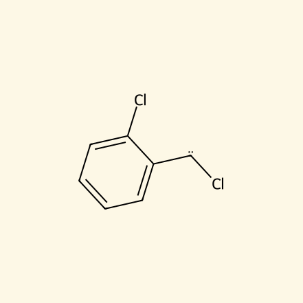 Cl[C]c1ccccc1Cl